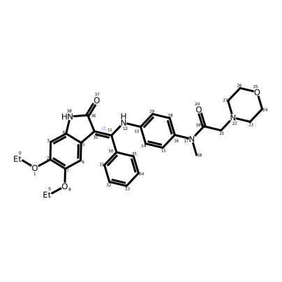 CCOc1cc2c(cc1OCC)/C(=C(/Nc1ccc(N(C)C(=O)CN3CCOCC3)cc1)c1ccccc1)C(=O)N2